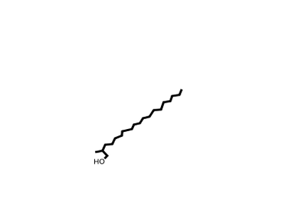 CCCCCCCCCCCCCCCCCC(C)CO